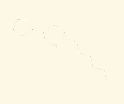 [CH2]CCCCCc1ccc(C2CCCC2)cc1